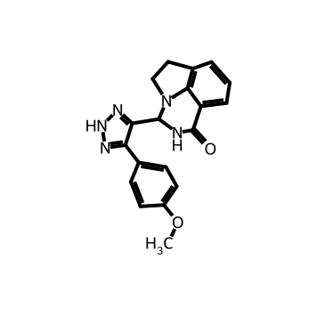 COc1ccc(-c2n[nH]nc2C2NC(=O)c3cccc4c3N2CC4)cc1